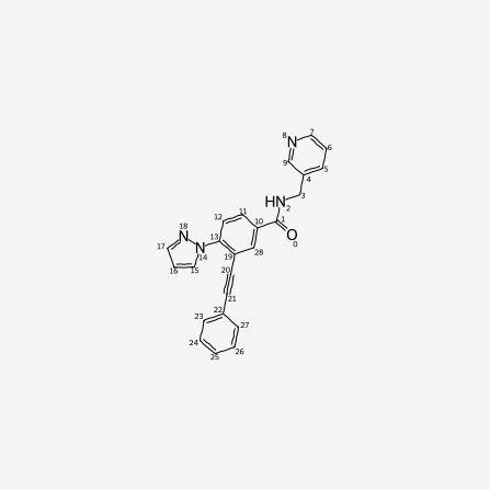 O=C(NCc1cccnc1)c1ccc(-n2cccn2)c(C#Cc2ccccc2)c1